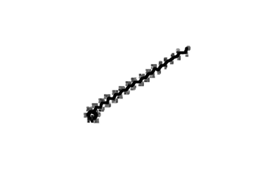 CCCCCCCCCCCCCCCCCCCCCCCCCCCC[CH]c1ccncc1